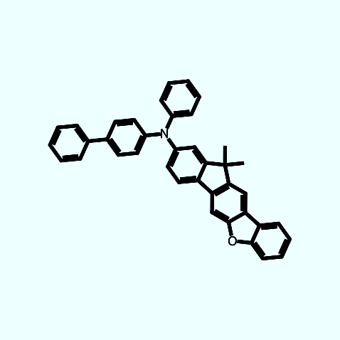 CC1(C)c2cc(N(c3ccccc3)c3ccc(-c4ccccc4)cc3)ccc2-c2cc3oc4ccccc4c3cc21